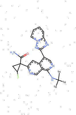 [2H]C([2H])([2H])Nc1ncc(-c2nc3ccccn3n2)c2cc(C3(C(N)=O)CC3F)ncc12